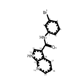 O=C(Nc1cccc(Br)c1)c1c[nH]c2ncccc12